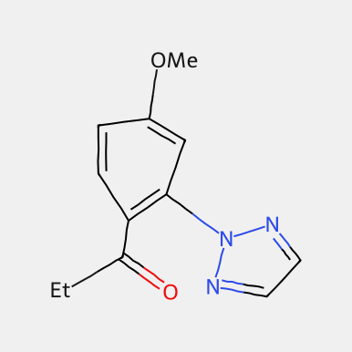 CCC(=O)c1ccc(OC)cc1-n1nccn1